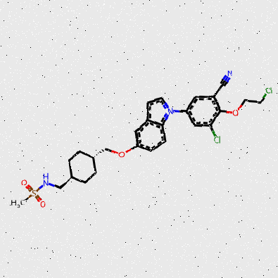 CS(=O)(=O)NC[C@H]1CC[C@H](COc2ccc3c(ccn3-c3cc(Cl)c(OCCCl)c(C#N)c3)c2)CC1